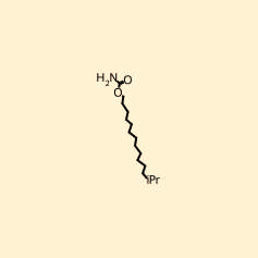 CC(C)CCCCCCCCCCCCOC(N)=O